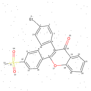 CCc1ccc(-c2c(-c3ccc(S(C)(=O)=O)cc3)oc3ccccc3c2=O)cc1